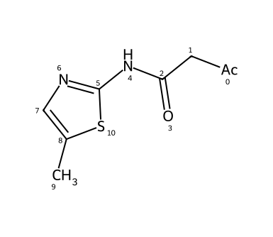 CC(=O)CC(=O)Nc1ncc(C)s1